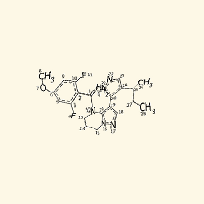 C=C(c1c(F)cc(OC)cc1F)N1CCCn2ncc(-c3[nH]ncc3[C@H](C)CC)c21